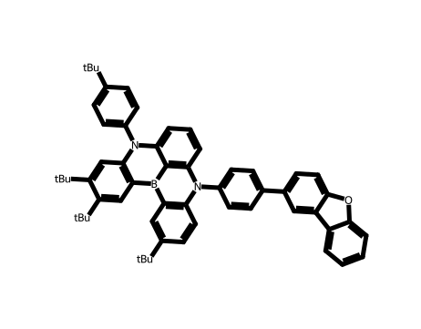 CC(C)(C)c1ccc(N2c3cc(C(C)(C)C)c(C(C)(C)C)cc3B3c4cc(C(C)(C)C)ccc4N(c4ccc(-c5ccc6oc7ccccc7c6c5)cc4)c4cccc2c43)cc1